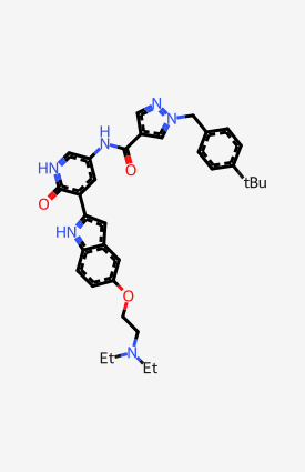 CCN(CC)CCOc1ccc2[nH]c(-c3cc(NC(=O)c4cnn(Cc5ccc(C(C)(C)C)cc5)c4)c[nH]c3=O)cc2c1